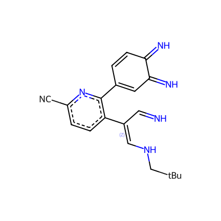 CC(C)(C)CN/C=C(\C=N)c1ccc(C#N)nc1C1=CC(=N)C(=N)C=C1